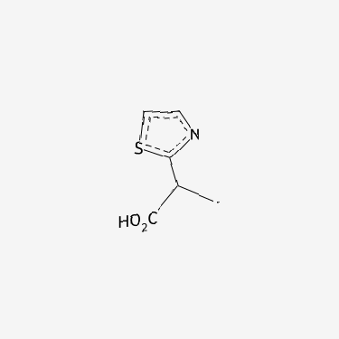 [CH2]C(C(=O)O)c1nccs1